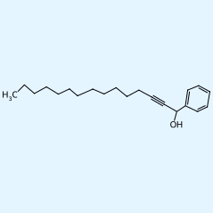 CCCCCCCCCCCCC#CC(O)c1ccccc1